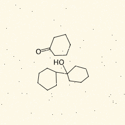 O=C1CCCCC1.OC1(C2CCCCC2)CCCCC1